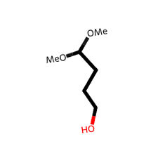 COC(CCCO)OC